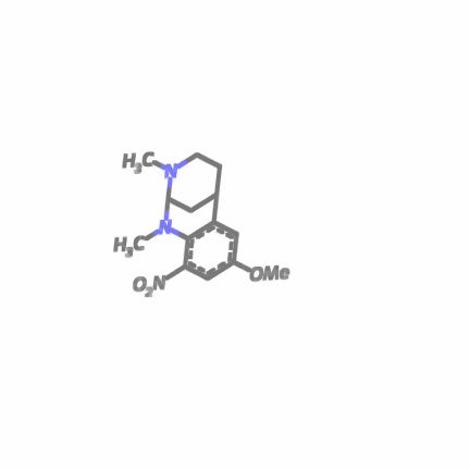 COc1cc2c(c([N+](=O)[O-])c1)N(C)C1CC2CCN1C